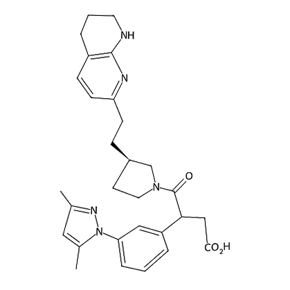 Cc1cc(C)n(-c2cccc(C(CC(=O)O)C(=O)N3CC[C@@H](CCc4ccc5c(n4)NCCC5)C3)c2)n1